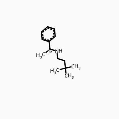 C[C@H](NCCC(C)(C)C)c1ccccc1